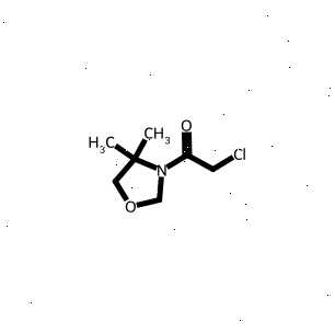 CC1(C)COCN1C(=O)CCl